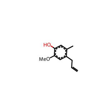 C=CCc1cc(OC)c(O)cc1C